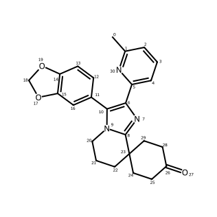 Cc1cccc(-c2nc3n(c2-c2ccc4c(c2)OCO4)CCCC32CCC(=O)CC2)n1